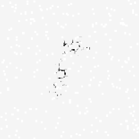 CC(=NOCCOc1ccc(CC2SC(=O)NC2=O)cc1)c1cc(C)c(O)c(C)c1